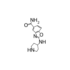 NC(=O)c1ccc2oc(NC3CCNCC3)nc2c1